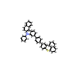 c1ccc(-n2c3cc(-c4ccc(-c5ccc6c(c5)-c5cccc7cccc(c57)S6)cc4)ccc3c3c4ccccc4ccc32)cc1